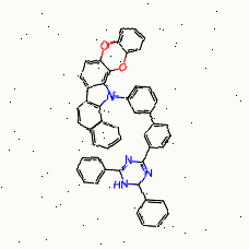 c1ccc(C2=NC(c3cccc(-c4cccc(-n5c6c7c(ccc6c6ccc8ccccc8c65)Oc5ccccc5O7)c4)c3)=NC(c3ccccc3)N2)cc1